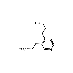 O=S(=O)(O)CCc1ccncc1CCS(=O)(=O)O